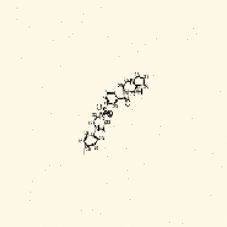 O=C(c1cccc(S(=O)(=O)N2CCN(c3ccc(F)cc3)CC2)c1)N1CCN2CCC[C@H]2C1